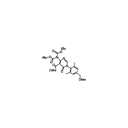 COCc1cc(C)c(-n2cnc(N(C(=O)OC(C)(C)C)C(=O)OC(C)(C)C)c(C(=O)OC)c2=O)c(C)c1